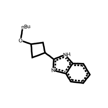 CCCCOC1CC(c2nc3ccccc3[nH]2)C1